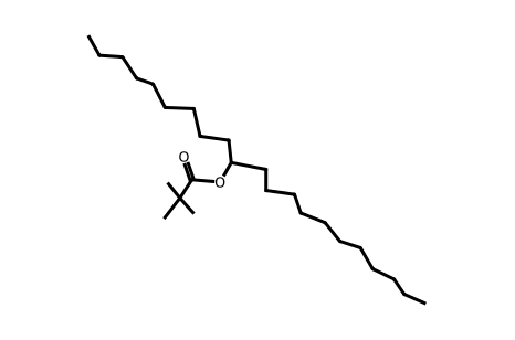 CCCCCCCCCCCC(CCCCCCCCC)OC(=O)C(C)(C)C